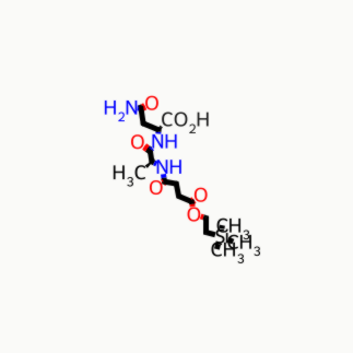 C[C@H](NC(=O)CCC(=O)OCC[Si](C)(C)C)C(=O)N[C@@H](CC(N)=O)C(=O)O